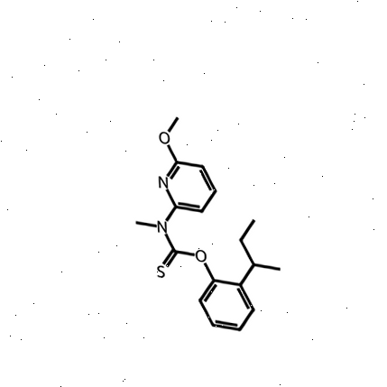 CCC(C)c1ccccc1OC(=S)N(C)c1cccc(OC)n1